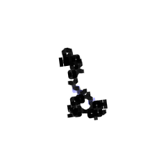 CCOC(C)OC1(C)CCC(O[Si](CC)(CC)CC)CC(=O)OC(/C(C)=C/C=C/C(C)CC2OC2C(C)C(CC)OC(=O)Nc2ccccc2)C(C)/C=C/C1O